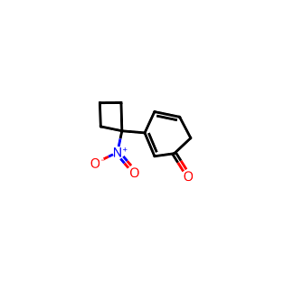 O=C1C=C(C2([N+](=O)[O-])CCC2)C=CC1